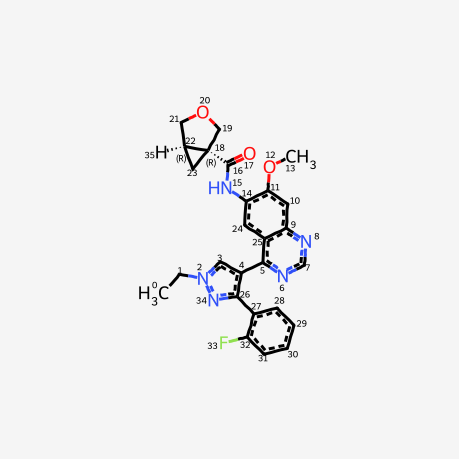 CCn1cc(-c2ncnc3cc(OC)c(NC(=O)[C@@]45COC[C@@H]4C5)cc23)c(-c2ccccc2F)n1